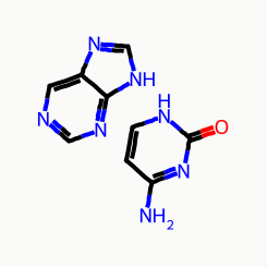 Nc1cc[nH]c(=O)n1.c1ncc2nc[nH]c2n1